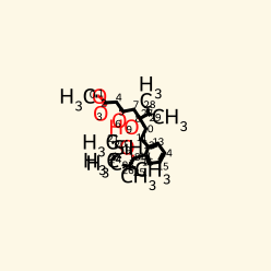 COC(=O)CC(=O)CC(O)(CCc1ccccc1C(O[SiH](C)C)C(C)(C)C)C(C)C